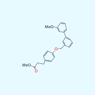 COC(=O)CCc1ccc(OCc2cccc(-c3cccc(OC)c3)c2)cc1